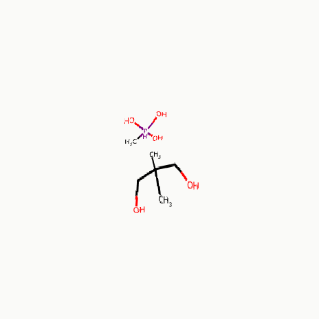 CC(C)(CO)CO.C[PH](O)(O)O